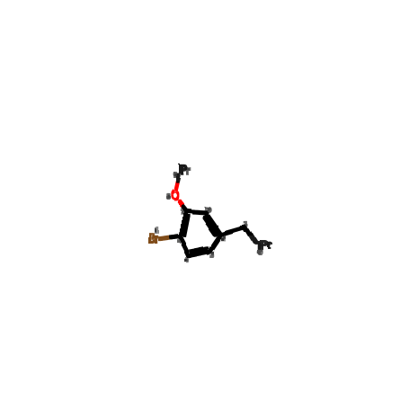 CC(C)Cc1ccc(Br)c(OC(C)C)c1